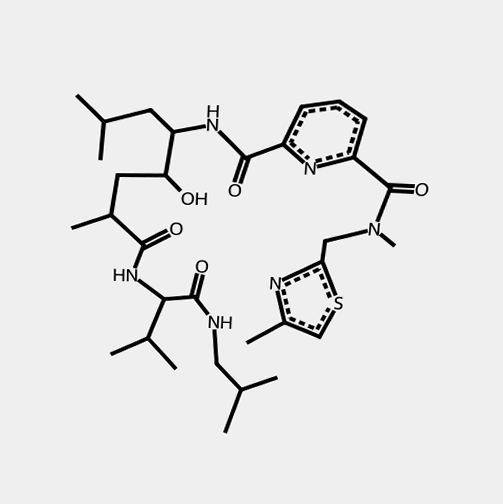 Cc1csc(CN(C)C(=O)c2cccc(C(=O)NC(CC(C)C)C(O)CC(C)C(=O)NC(C(=O)NCC(C)C)C(C)C)n2)n1